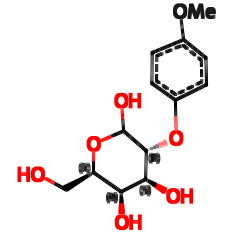 COc1ccc(O[C@H]2C(O)O[C@H](CO)[C@H](O)[C@@H]2O)cc1